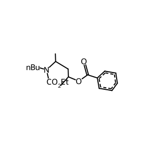 CCCCN(C(=O)OCC)C(C)CC(C)OC(=O)c1ccccc1